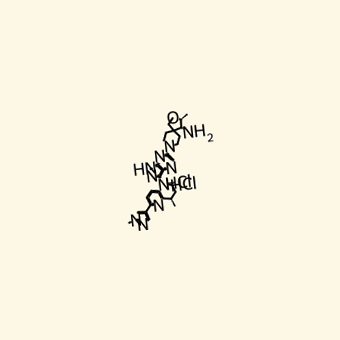 C[C@@H]1CCN(c2n[nH]c3nc(N4CCC5(CC4)CO[C@@H](C)[C@H]5N)cnc23)c2ccc(-c3cnn(C)c3)nc21.Cl.Cl